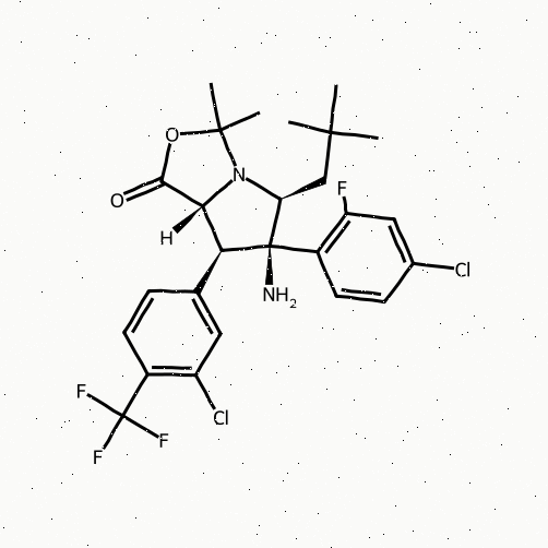 CC(C)(C)C[C@@H]1N2[C@@H](C(=O)OC2(C)C)[C@H](c2ccc(C(F)(F)F)c(Cl)c2)[C@@]1(N)c1ccc(Cl)cc1F